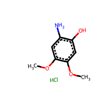 COc1cc(N)c(O)cc1OC.Cl